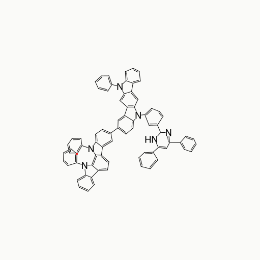 C1=C(c2ccccc2)NC(c2cccc(-n3c4ccc(-c5ccc6c(c5)c5ccc7c8ccccc8n(-c8ccccc8)c7c5n6-c5ccccc5)cc4c4cc5c(cc43)c3ccccc3n5-c3ccccc3)c2)N=C1c1ccccc1